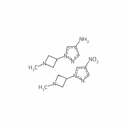 CN1CC(n2cc(N)cn2)C1.CN1CC(n2cc([N+](=O)[O-])cn2)C1